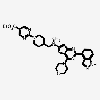 CCOC(=O)c1cnc(N2CCC(CN(C)c3cc4nc(-c5cccc6[nH]ncc56)nc(N5CCOCC5)c4s3)CC2)nc1